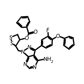 Nc1ncnc2c1c(-c1ccc(Oc3ccccc3)c(F)c1)nn2CC1SSCC1OC(=O)c1ccccc1